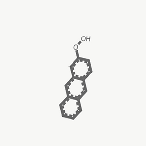 OOc1[c]c2cc3ccccc3cc2cc1